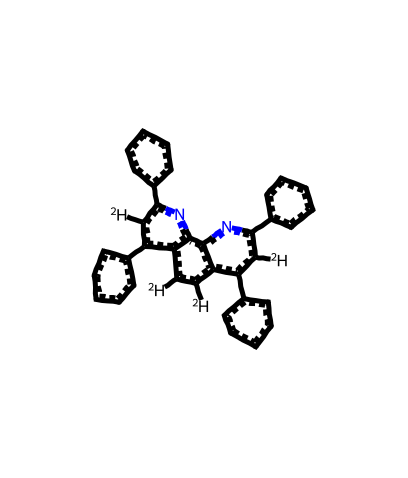 [2H]c1c(-c2ccccc2)nc2c(c([2H])c([2H])c3c(-c4ccccc4)c([2H])c(-c4ccccc4)nc32)c1-c1ccccc1